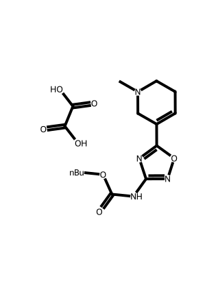 CCCCOC(=O)Nc1noc(C2=CCCN(C)C2)n1.O=C(O)C(=O)O